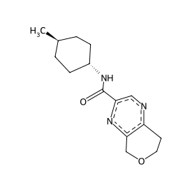 C[C@H]1CC[C@H](NC(=O)c2cnc3c(n2)COCC3)CC1